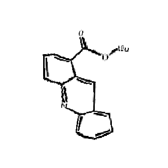 CC(C)(C)OC(=O)c1cccc2nc3ccccc3cc12